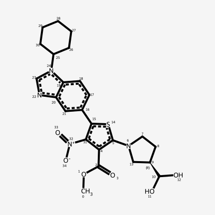 COC(=O)c1c(N2CC[C@@H](C(O)O)C2)sc(-c2ccc3c(c2)ncn3C2CCCCC2)c1[N+](=O)[O-]